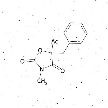 CC(=O)C1(Cc2ccccc2)OC(=O)N(C)C1=O